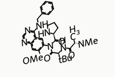 CN[C@@H](C)C(=O)N[C@H](C(=O)N(C(=O)[C@@H]1CCCN1)c1cc2c(NCc3ccccc3)ncnc2cc1OC)C(C)(C)C